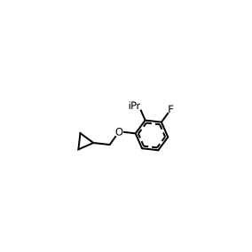 CC(C)c1c(F)cccc1OCC1CC1